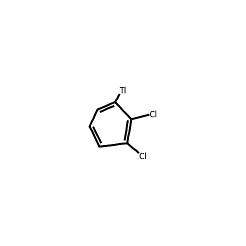 Clc1ccc[c]([Tl])c1Cl